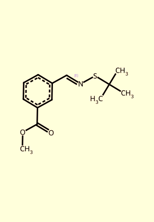 COC(=O)c1cccc(/C=N/SC(C)(C)C)c1